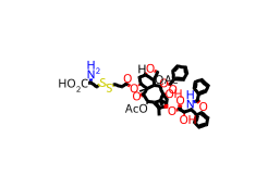 CC(=O)O[C@H]1C(=O)[C@@]2(C)C([C@H](OC(=O)c3ccccc3)[C@]3(O)C[C@H](OC(=O)[C@H](O)[C@@H](NC(=O)c4ccccc4)c4ccccc4)C(C)=C1C3(C)C)[C@]1(OC(C)=O)CO[C@@H]1C[C@@H]2OC(=O)CCSSCC(N)C(=O)O